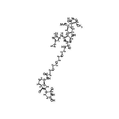 CCn1nc(C2CC2)cc1Nc1nc(C(=O)NCCOCCOCCOCCC(=O)Nc2cccc3c2CN(C2CCC(O)NC2=O)C3=O)nc2[nH]c3cc(-c4c(C)noc4C)c(OC)cc3c12